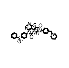 O=C(Nc1ccc(CN2CCCCC2)cc1)c1sc2ncnc3c2c1NC(=O)N3c1ccc([S+]([O-])c2ccccc2)cc1